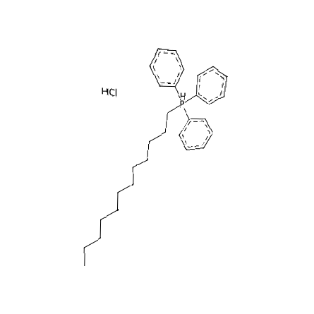 CCCCCCCCCCCC[PH](c1ccccc1)(c1ccccc1)c1ccccc1.Cl